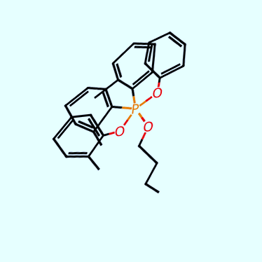 CCCCOP(Oc1ccccc1)(Oc1ccccc1C)(c1ccccc1C)c1ccccc1C